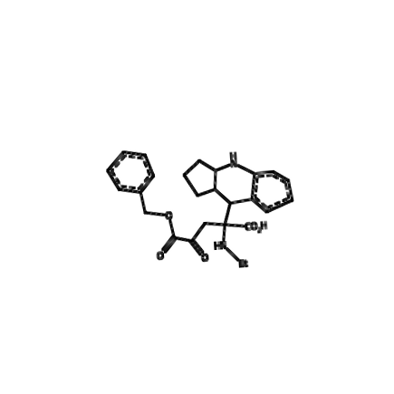 CCNC(CC(=O)C(=O)OCc1ccccc1)(C(=O)O)C1c2ccccc2NC2CCCC21